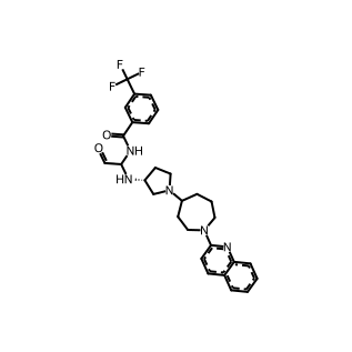 O=CC(NC(=O)c1cccc(C(F)(F)F)c1)N[C@@H]1CCN(C2CCCN(c3ccc4ccccc4n3)CC2)C1